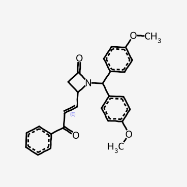 COc1ccc(C(c2ccc(OC)cc2)N2C(=O)CC2/C=C/C(=O)c2ccccc2)cc1